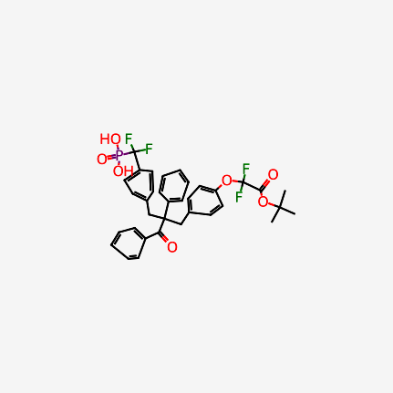 CC(C)(C)OC(=O)C(F)(F)Oc1ccc(CC(Cc2ccc(C(F)(F)P(=O)(O)O)cc2)(C(=O)c2ccccc2)c2ccccc2)cc1